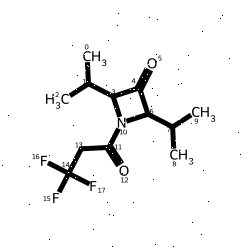 CC(C)C1C(=O)C(C(C)C)N1C(=O)CC(F)(F)F